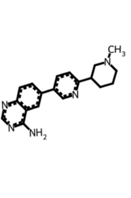 CN1CCCC(c2ccc(-c3ccc4ncnc(N)c4c3)cn2)C1